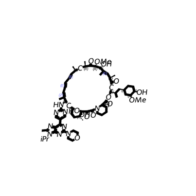 CO[C@@H]1C[C@@H](CC(C)[C@@H]2CC(=O)[C@H](C)/C=C(\C)[C@@H](O)[C@@H](OC)C(=O)[C@H](C)C[C@H](C)/C=C/C=C/C=C(/C)[C@H](Nc3ncc(-c4nc(N5CCOCC5)nc5c4nc(C)n5C(C)C)cn3)C[C@@H]3CC[C@@H](C)[C@@](O)(O3)C(=O)C(=O)N3CCCC[C@H]3C(=O)O2)CC[C@H]1O